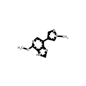 COc1ncc(-c2cnn(C)c2)c2nc[nH]c12